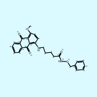 COc1ccc(NCCCCC(=O)NOCc2ccccc2)c2c1C(=O)c1ccccc1C2=O